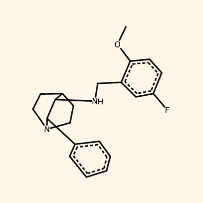 COc1ccc(F)cc1CNC1C2CCN(CC2)C1c1ccccc1